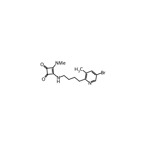 CNc1c(NCCCCc2ncc(Br)cc2C)c(=O)c1=O